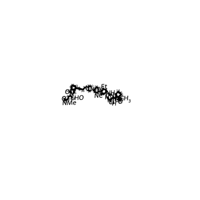 CCc1cc(Nc2ncc(Cl)c(Nc3ccccc3P(C)(C)=O)n2)cc(C#N)c1N1CCC(N2CCN(CCC#Cc3cccc4c3CN(C(C=O)CCC(=O)NC)C4=O)CC2)CC1